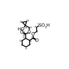 O=C(OCCS(=O)(=O)O)C1CCCCC1C(=O)OCC1(O)CC1